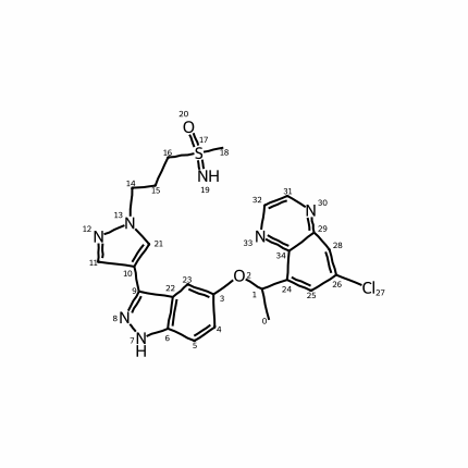 CC(Oc1ccc2[nH]nc(-c3cnn(CCCS(C)(=N)=O)c3)c2c1)c1cc(Cl)cc2nccnc12